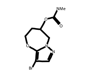 CNC(=O)OC1CCOc2c(Br)cnn2C1